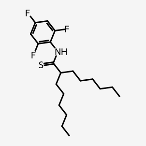 CCCCCCC(CCCCCC)C(=S)Nc1c(F)cc(F)cc1F